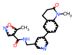 Cc1oncc1C(=O)NCc1cncc(-c2ccc3c(c2)CCC(=O)N3C)c1